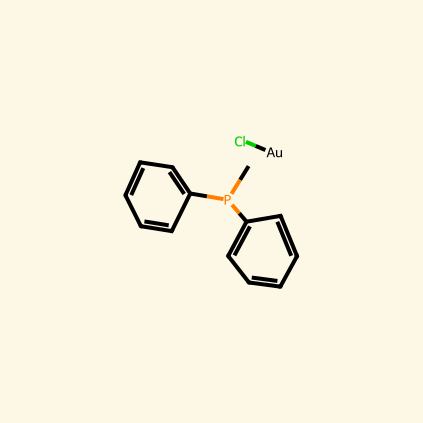 CP(c1ccccc1)c1ccccc1.[Cl][Au]